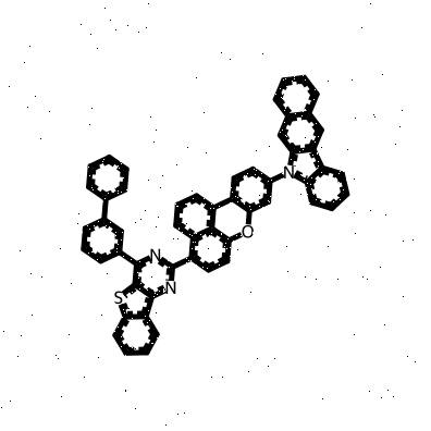 c1ccc(-c2cccc(-c3nc(-c4ccc5c6c(cccc46)-c4ccc(-n6c7ccccc7c7cc8ccccc8cc76)cc4O5)nc4c3sc3ccccc34)c2)cc1